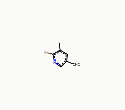 Cc1cc(C=O)cnc1Br